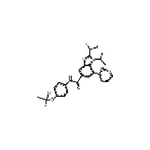 CC(C)n1c(C(F)F)nc2cc(C(=O)Nc3ccc(OC(F)(F)Cl)cc3)cc(-c3cccnn3)c21